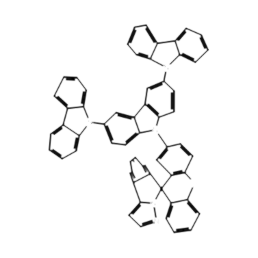 c1ccc2c(c1)Oc1ccc(-n3c4ccc(-n5c6ccccc6c6ccccc65)cc4c4cc(-n5c6ccccc6c6ccccc65)ccc43)cc1C21c2ccccc2-c2ccnn21